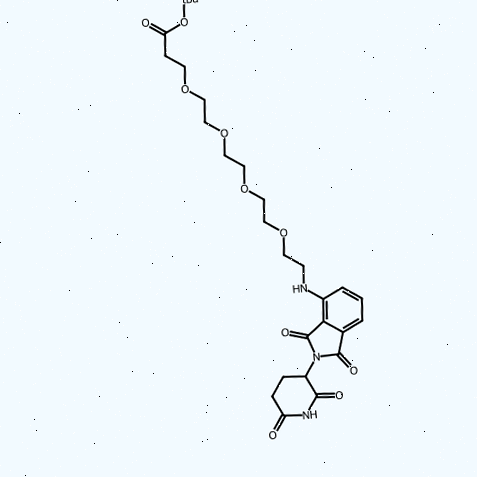 CC(C)(C)OC(=O)CCOCCOCCOCCOCCNc1cccc2c1C(=O)N(C1CCC(=O)NC1=O)C2=O